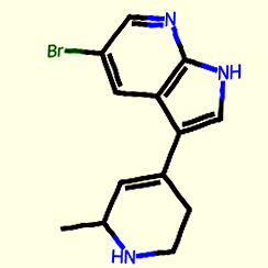 CC1C=C(c2c[nH]c3ncc(Br)cc23)CCN1